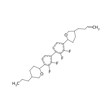 C=CCCC1CCC(c2ccc(-c3ccc(C4CCC(CCC)CO4)c(F)c3F)c(F)c2F)OC1